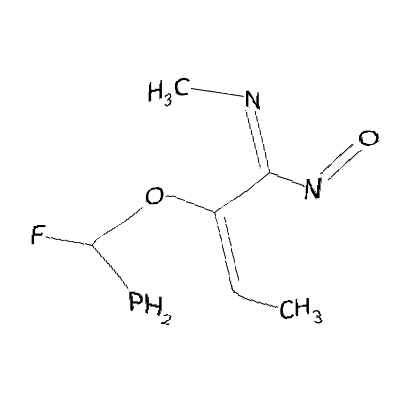 C/C=C(OC(F)P)\C(N=O)=N/C